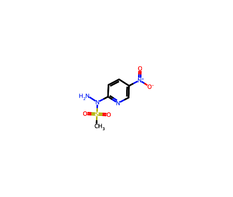 CS(=O)(=O)N(N)c1ccc([N+](=O)[O-])cn1